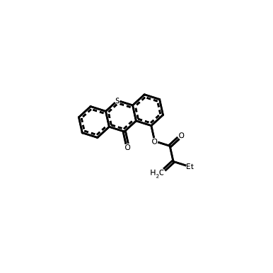 C=C(CC)C(=O)Oc1cccc2sc3ccccc3c(=O)c12